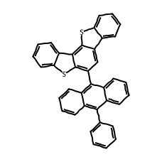 c1ccc(-c2c3ccccc3c(-c3cc4c5ccccc5sc4c4c3sc3ccccc34)c3ccccc23)cc1